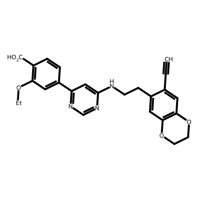 C#Cc1cc2c(cc1CCNc1cc(-c3ccc(C(=O)O)c(OCC)c3)ncn1)OCCO2